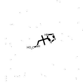 CC(C)(CNC(=O)O)c1nnn[nH]1